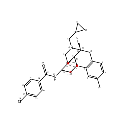 Cc1ccc2c(c1)[C@]13CCN(CC4CC4)[C@H](C2)[C@]12CCC(NC(=O)c1ccc(Cl)cc1)(CO2)C3